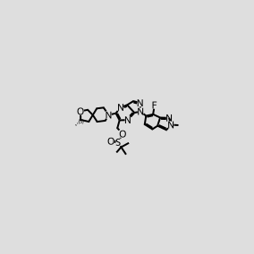 C[C@H]1CC2(CCN(c3nc4cnn(-c5ccc6cn(C)nc6c5F)c4nc3COS(=O)C(C)(C)C)CC2)CO1